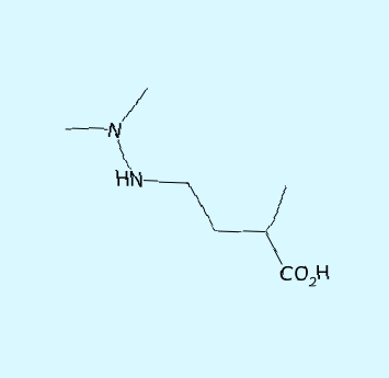 CC(CCNN(C)C)C(=O)O